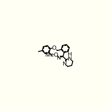 CON=C(C1=NCCCN1)c1ccccc1COc1ccc(C)cc1C